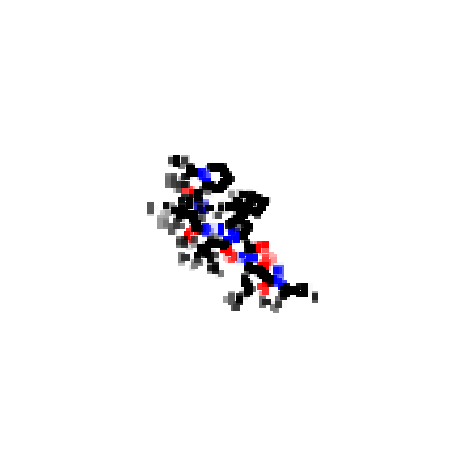 CCC[C@H](NC(=O)[C@@H]1C[C@@]2(CN1C(=O)[C@@H](NC(=O)[C@@H](NC(=O)[C@H]1CCCCN1C(C)C)C(C)(C)C)C(C)(C)C)C(C)(C)C21CCC1)C(=O)C(=O)NC(C)C